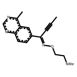 CC#C/C(=N\OCCNC)c1ccc2ncnc(C)c2c1